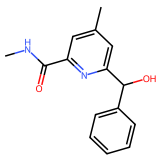 CNC(=O)c1cc(C)cc(C(O)c2ccccc2)n1